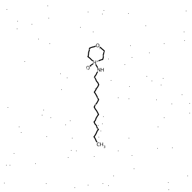 CCCCCCCCCCN[N+]1([O-])CCOCC1